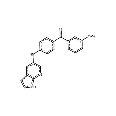 COc1cccc(C(=O)c2ccc(Nc3cnc4[nH]ccc4c3)cc2)c1